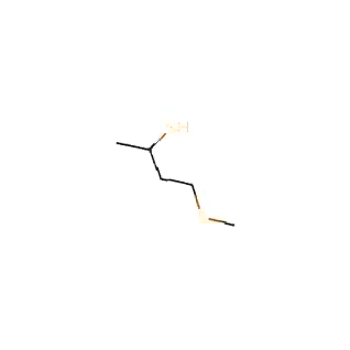 CSCCC(C)S